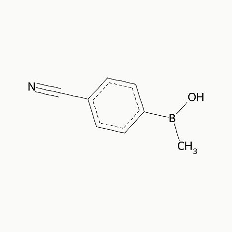 CB(O)c1ccc(C#N)cc1